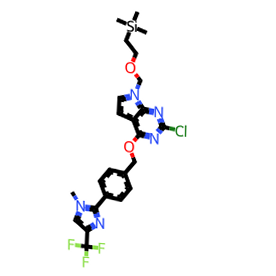 Cn1cc(C(F)(F)F)nc1-c1ccc(COc2nc(Cl)nc3c2ccn3COCC[Si](C)(C)C)cc1